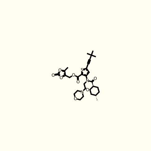 Cc1oc(=O)oc1COC(=O)c1sc(C#CC(C)(C)C)cc1N(CC(=O)N1CCOCC1)C(=O)[C@H]1CC[C@H](C)CC1